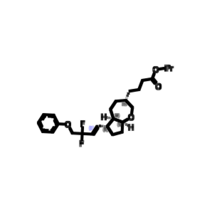 CC(C)OC(=O)CCC[C@H]1CC[C@H]2[C@H](CC[C@@H]2/C=C/C(F)(F)COc2ccccc2)OC1